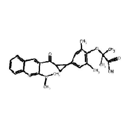 Cc1cc(C2CC2C(=O)c2cc3ccccc3nc2N(C)C)cc(C)c1OC(C)(C)C(=O)O